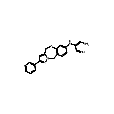 N=C/C(=C\N)Nc1ccc2c(c1)OCc1cc(-c3ccccc3)nn1C2